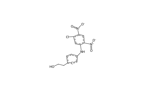 O=[N+]([O-])c1cc([N+](=O)[O-])c(Nc2ccc(CCO)cc2)cc1Cl